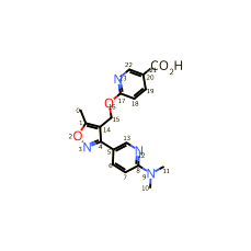 Cc1onc(-c2ccc(N(C)C)nc2)c1COc1ccc(C(=O)O)cn1